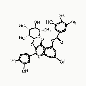 C[C@@H]1O[C@@H](Oc2c(-c3ccc(O)c(O)c3)oc3cc(O)cc(OC(=O)c4cc(O)c(O)c(O)c4)c3c2=O)[C@H](O)[C@H](O)[C@H]1O